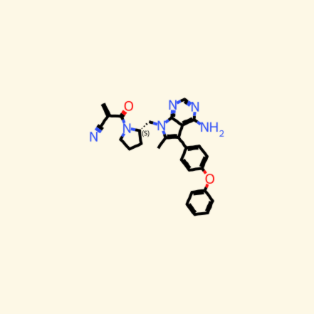 C=C(C#N)C(=O)N1CCC[C@H]1Cn1c(C)c(-c2ccc(Oc3ccccc3)cc2)c2c(N)ncnc21